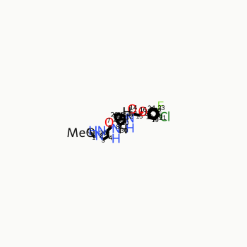 COCN1CCC(C(=O)N[C@@H]2C[C@H](NC(=O)COc3ccc(Cl)c(F)c3)C3CC2C3)N1